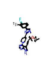 Cn1cc(-c2ccc(F)c(C(F)(F)F)c2)nc1C1CCN(c2ncnc3[nH]cc(C#CC(C)(C)O[Si](C)(C)C)c23)CC1